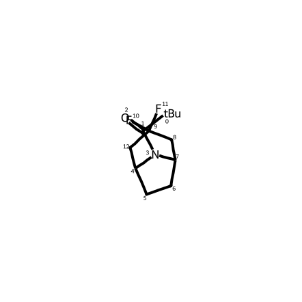 CC(C)(C)C(=O)N1C2CCC1CC(F)(F)C2